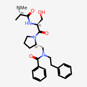 CN[C@@H](C)C(=O)N[C@@H](CO)C(=O)N1CCC[C@H]1CN(CCc1ccccc1)C(=O)c1ccccc1